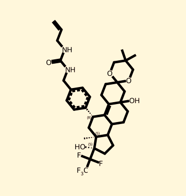 C=CCNC(=O)NCc1ccc([C@H]2C[C@@]3(C)C(CC[C@@]3(O)C(F)(F)C(F)(F)F)C3CCC4(O)CC5(CCC4=C32)OCC(C)(C)CO5)cc1